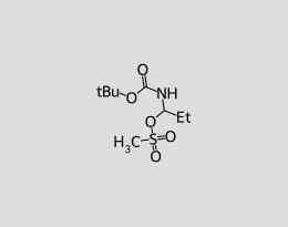 CCC(NC(=O)OC(C)(C)C)OS(C)(=O)=O